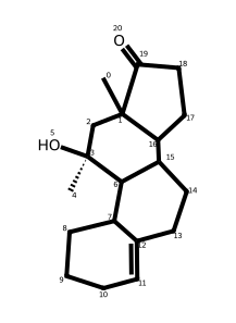 CC12C[C@](C)(O)C3C4CCCC=C4CCC3C1CCC2=O